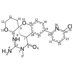 CN(C(=N)N)C(=O)C1C[C@]2(CCCOC2)Oc2ccc(-c3cccc(Cl)n3)cc21